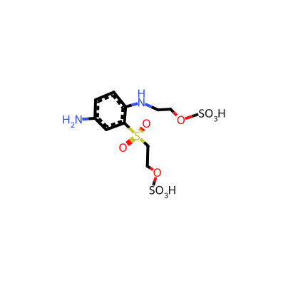 Nc1ccc(NCCOS(=O)(=O)O)c(S(=O)(=O)CCOS(=O)(=O)O)c1